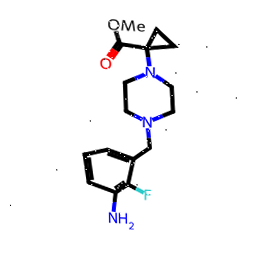 COC(=O)C1(N2CCN(Cc3cccc(N)c3F)CC2)CC1